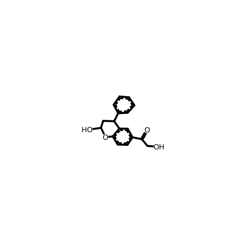 O=C(CO)c1ccc2c(c1)C(c1ccccc1)CC(O)O2